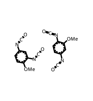 COc1cc(N=C=O)ccc1N=C=O.COc1ccc(N=C=O)cc1N=C=O